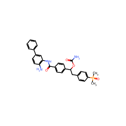 CP(C)(=O)c1ccc(CC(OC(N)=O)c2ccc(C(=O)Nc3cc(-c4ccccc4)ccc3N)cc2)cc1